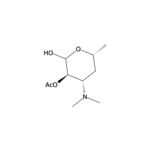 CC(=O)O[C@H]1C(O)O[C@H](C)C[C@@H]1N(C)C